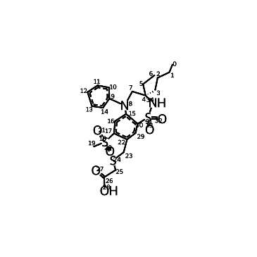 CCCC[C@@]1(CC)CN(c2ccccc2)c2cc(S(C)(=O)=O)c(CSCC(=O)O)cc2S(=O)(=O)N1